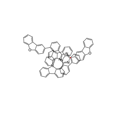 c1ccc(-c2ccccc2-n2c3ccccc3c3cccc(-n4c5ccccc5c5cccc(-c6nc(-c7ccc8oc9ccccc9c8c7)nc(-c7cccc(-c8ccc9oc%10ccccc%10c9c8)c7-c7ccccc7)n6)c54)c32)cc1